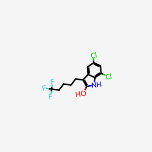 Oc1[nH]c2c(Cl)cc(Cl)cc2c1CCCCC(F)(F)F